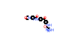 O=C(Nc1ccc(C(=O)c2ccc(NC(=O)c3c[nH]nn3)cc2)cc1)c1ccc(N2CCOCC2)cc1